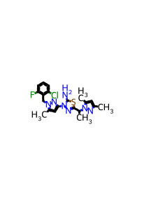 Cc1cc(C)n(C(C)C2=NN(c3cc(C)n(Cc4c(F)cccc4Cl)n3)C(N)S2)n1